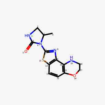 CC1CNC(=O)N1c1nc2c3c(ccc2s1)OCCN3